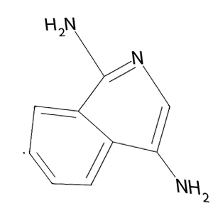 Nc1cnc(N)c2c[c]ccc12